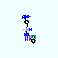 O=C(NCCc1ccc(C2=NCCN2)cc1)c1cc(NC(=O)c2ccccc2Cl)[nH]n1